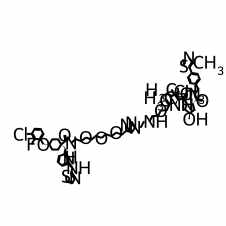 Cc1ncsc1-c1ccc(CNC(=O)[C@@H]2C[C@@H](O)CN2C(=O)[C@@H](NC(=O)COCCNCCn2cc(COCCOCCOCCNC(=O)[C@]3(Cc4cccc(Nc5nccs5)n4)CC[C@@H](Oc4cccc(Cl)c4F)CC3)nn2)C(C)(C)C)cc1